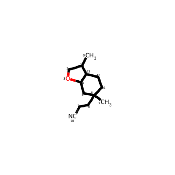 CC1COC2CC(C)(CCC#N)CCC12